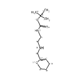 CC(C)(C)OC(=O)NCCNCC1=CCCCO1